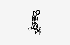 Fc1ccccc1-c1nc(-c2cn3cc(C(F)(F)F)cc(Cl)c3n2)no1